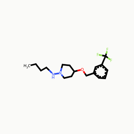 CCCCNN1CCC(OCc2cccc(C(F)(F)F)c2)CC1